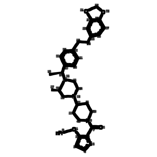 CCCOc1ccsc1C(=O)N1CCC(N2CCN([C@@H](C)c3ccc(CCc4ccc5c(c4)OCO5)cc3)[C@H](C)C2)CC1